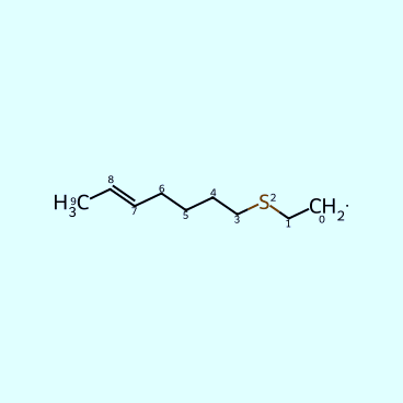 [CH2]CSCCCCC=CC